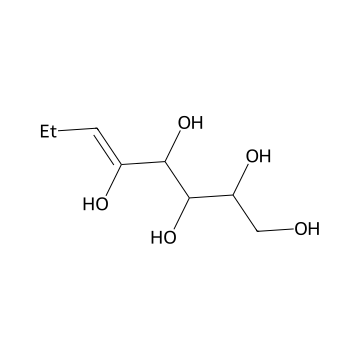 CCC=C(O)C(O)C(O)C(O)CO